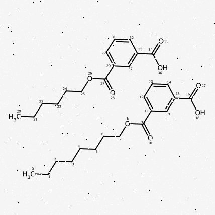 CCCCCCCCOC(=O)c1cccc(C(=O)O)c1.CCCCCCOC(=O)c1cccc(C(=O)O)c1